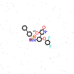 CCOc1cc(=O)n(C)cc1-c1cc(NS(=O)(=O)c2ccc(-c3ccccc3)cc2)ccc1Oc1ccc(F)cc1F